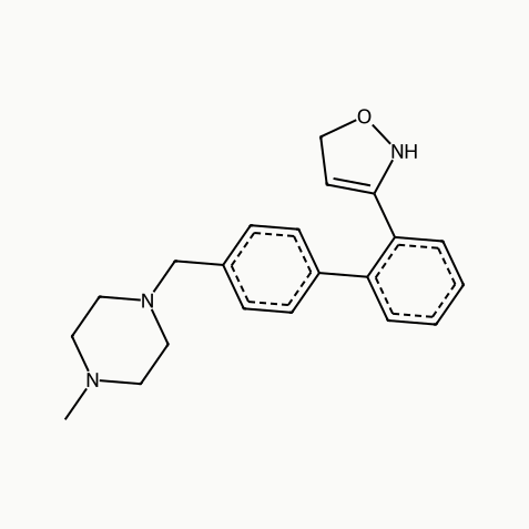 CN1CCN(Cc2ccc(-c3ccccc3C3=CCON3)cc2)CC1